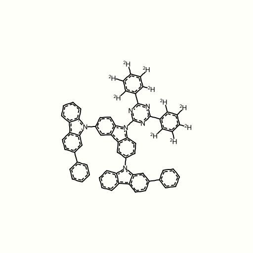 [2H]c1c([2H])c([2H])c(-c2nc(-c3c([2H])c([2H])c([2H])c([2H])c3[2H])nc(-n3c4ccc(-n5c6ccccc6c6ccc(-c7ccccc7)cc65)cc4c4cc(-n5c6ccccc6c6ccc(-c7ccccc7)cc65)ccc43)n2)c([2H])c1[2H]